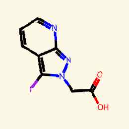 O=C(O)Cn1nc2ncccc2c1I